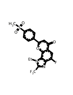 CCn1c(C(F)(F)F)nc2c(F)cc3c(=O)cc(-c4ccc(S(C)(=O)=O)cc4)oc3c21